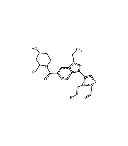 C=Cc1ncc(-c2nn(CC(F)(F)F)c3cc(C(=O)N4CCC(O)CC4C(C)C)ncc23)n1/C=C/F